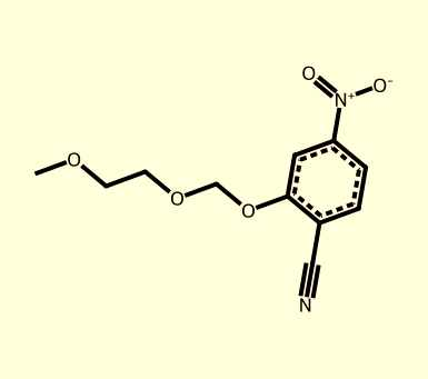 COCCOCOc1cc([N+](=O)[O-])ccc1C#N